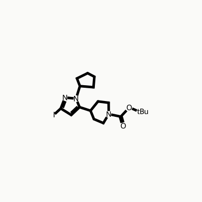 CC(C)(C)OC(=O)N1CCC(c2cc(I)nn2C2CCCC2)CC1